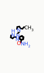 CCCC1CCCN1CCn1c(C2CCCN2)nc2c(C(N)=O)cccc21